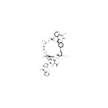 CCn1c(-c2cccnc2[C@H](C)OC)c2c3cc(ccc31)-c1cc(O)cc(c1)C[C@H](NC(=O)C(C(C)C)N(C)C(=O)[C@H]1CCN(C(=O)[C@@H]3CCCN3C)C1)C(=O)N(NF)CCCCC(=O)OCC(C)(C)C2